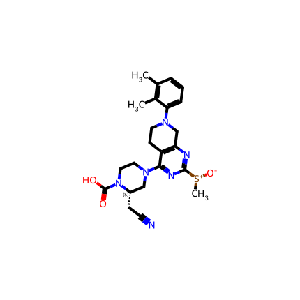 Cc1cccc(N2CCc3c(nc([S+](C)[O-])nc3N3CCN(C(=O)O)[C@@H](CC#N)C3)C2)c1C